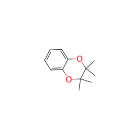 CC1(C)Oc2ccccc2OC1(C)C